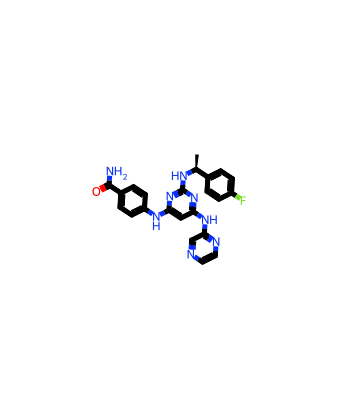 C[C@H](Nc1nc(Nc2ccc(C(N)=O)cc2)cc(Nc2cnccn2)n1)c1ccc(F)cc1